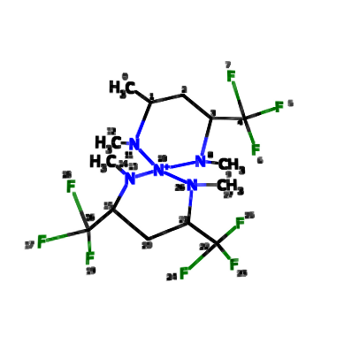 CC1CC(C(F)(F)F)N(C)[N+]2(N1C)N(C)C(C(F)(F)F)CC(C(F)(F)F)N2C